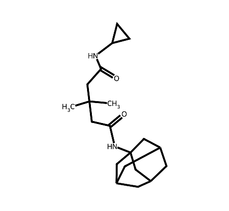 CC(C)(CC(=O)NC1CC1)CC(=O)NC12CC3CC(CC(C3)C1)C2